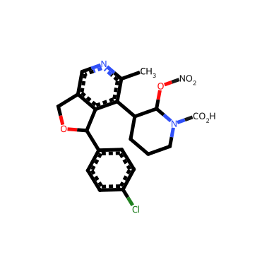 Cc1ncc2c(c1C1CCCN(C(=O)O)C1O[N+](=O)[O-])C(c1ccc(Cl)cc1)OC2